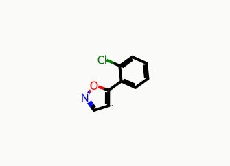 Clc1ccccc1-c1[c]cno1